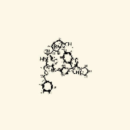 COc1ccc(C(C)(C(=O)N2CCCC2)n2cnc(NC(=O)C(COCc3ccccc3)NS(=O)(=O)C3CC4CCC(C3)N4)c2)cc1